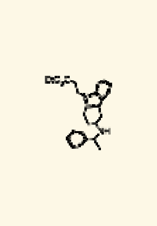 CCOC(=O)CCn1c2c(c3ccccc31)CC(NC(C)c1ccccc1)CC2